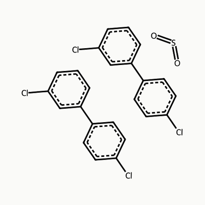 Clc1ccc(-c2cccc(Cl)c2)cc1.Clc1ccc(-c2cccc(Cl)c2)cc1.O=S=O